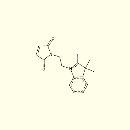 CC1=[N+](CCN2C(=O)C=CC2=O)c2ccccc2C1(C)C